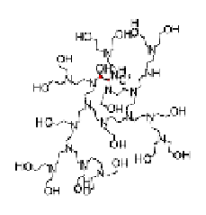 CN(CCN(CCO)CCO)CCN(CCN(CCO)CCO)CCN(CCN(CCO)CCN(CCN(CCO)CCO)CCN(CCO)CCN(CCO)CCO)CCN(CCO)CCN(CCN(CCO)CCN(CCO)CCO)CCN(CCNCCN(CCO)CCO)CCN(CCO)CCO